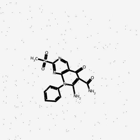 CS(=O)(=O)c1ncc2c(=O)c(C(N)=O)c(N)n(-c3ccccc3)c2n1